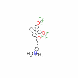 CN(C)c1ccc(C=CC=CC(=O)c2ccc3c(c2)C(c2ccc(OC(F)=C(F)F)cc2)(c2ccc(OC(F)=C(F)F)cc2)c2ccccc2-3)cc1